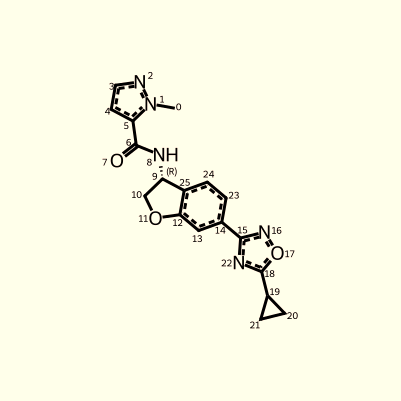 Cn1nccc1C(=O)N[C@H]1COc2cc(-c3noc(C4CC4)n3)ccc21